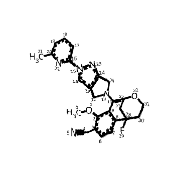 COc1c(C#N)ccc2c1C(N1Cc3cn(-c4cccc(C)n4)nc3C1)=C1CC2(F)CCO1